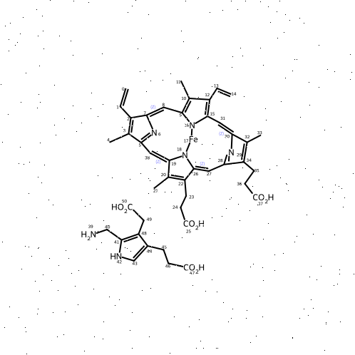 C=CC1=C(C)C2=NC/1=C\c1c(C)c(C=C)c3[n]1[Fe][n]1/c(c(C)c(CCC(=O)O)/c1=C/C1=NC(=C\3)/C(C)=C1CCC(=O)O)=C\2.NCc1[nH]cc(CCC(=O)O)c1CC(=O)O